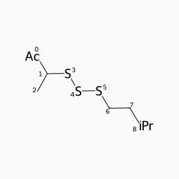 CC(=O)C(C)SSSCCC(C)C